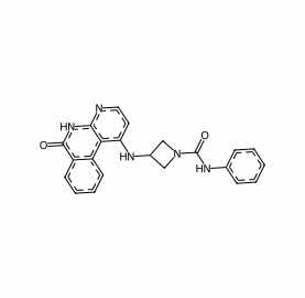 O=C(Nc1ccccc1)N1CC(Nc2ccnc3[nH]c(=O)c4ccccc4c23)C1